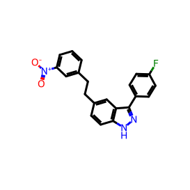 O=[N+]([O-])c1cccc(CCc2ccc3[nH]nc(-c4ccc(F)cc4)c3c2)c1